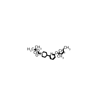 CC/C=C\C(C)(C)Oc1cccc(C2CCN(C(=O)OC(C)(C)C)CC2)n1